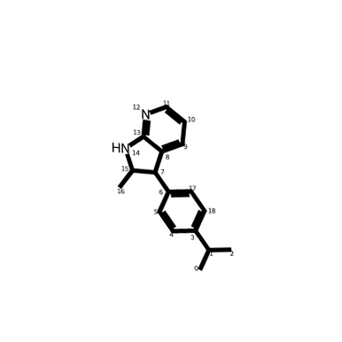 CC(C)c1ccc(C2c3cccnc3NC2C)cc1